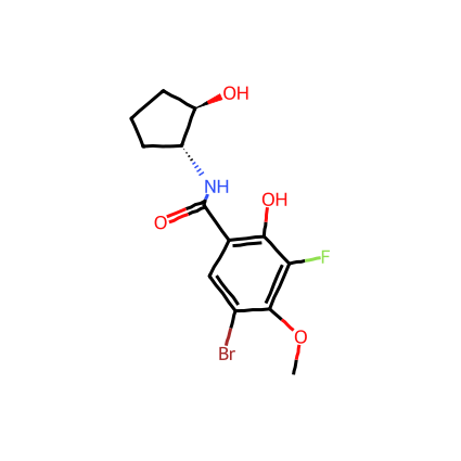 COc1c(Br)cc(C(=O)N[C@@H]2CCC[C@H]2O)c(O)c1F